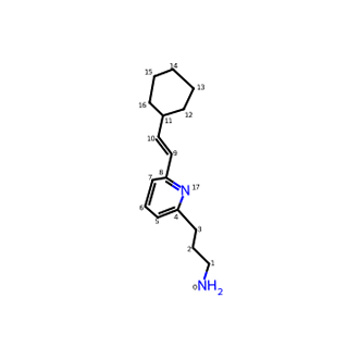 NCCCc1cccc(/C=C/C2CCCCC2)n1